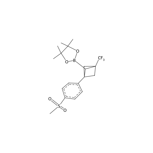 CC1(C)OB(C2C3(c4ccc(S(C)(=O)=O)cc4)CC2(C(F)(F)F)C3)OC1(C)C